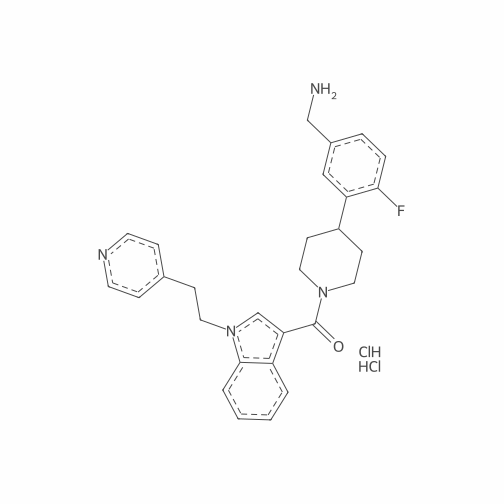 Cl.Cl.NCc1ccc(F)c(C2CCN(C(=O)c3cn(CCc4ccncc4)c4ccccc34)CC2)c1